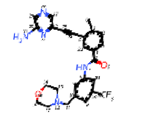 Cc1ccc(C(=O)Nc2cc(CN3CCOCC3)cc(C(F)(F)F)c2)cc1C#Cc1cncc(N)n1